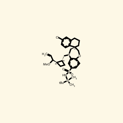 C=CC(OC)[C@@H]1CC[C@H]1CN1C[C@@]2(CCCc3cc(Cl)ccc32)COc2ccc(S(=O)(=O)N[Si](C)(C)C(C)(C)C)cc21